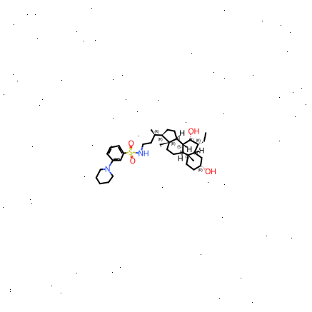 CC[C@H]1[C@@H](O)[C@@H]2[C@H](CC[C@]3(C)[C@@H]([C@H](C)CCNS(=O)(=O)c4cccc(N5CCCCC5)c4)CC[C@@H]23)[C@@]2(C)CC[C@@H](O)C[C@@H]12